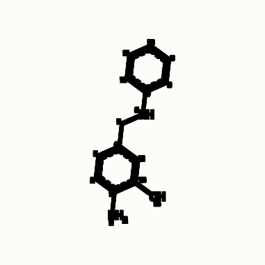 Nc1ccc(CNc2ccccc2)cc1O